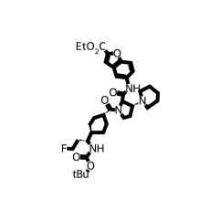 CCOC(=O)c1cc2cc(NC(=O)C3[C@H](N4CCCCC4)CCN3C(=O)[C@H]3CC[C@H]([C@@H](CCF)NC(=O)OC(C)(C)C)CC3)ccc2o1